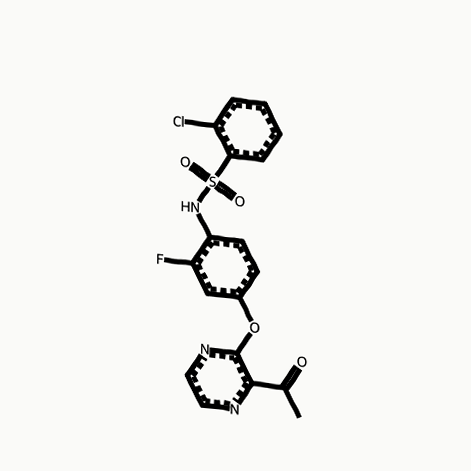 CC(=O)c1nccnc1Oc1ccc(NS(=O)(=O)c2ccccc2Cl)c(F)c1